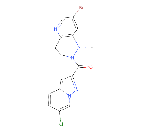 CN1c2cc(Br)cnc2CCN1C(=O)c1cc2ccc(Cl)cn2n1